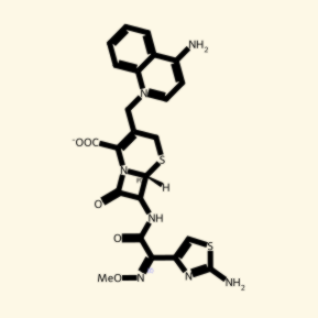 CO/N=C(\C(=O)NC1C(=O)N2C(C(=O)[O-])=C(C[n+]3ccc(N)c4ccccc43)CS[C@H]12)c1csc(N)n1